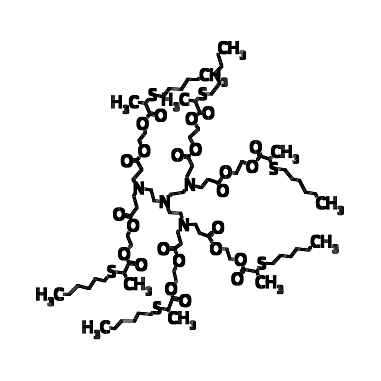 CCCCCCSC(C)C(=O)OCCOC(=O)CCN(CCC(=O)OCCOC(=O)C(C)SCCCCCC)CCN(CCN(CCC(=O)OCCOC(=O)C(C)SCCCCCC)CCC(=O)OCCOC(=O)C(C)SCCCCCC)CCN(CCC(=O)OCCOC(=O)C(C)SCCCCCC)CCC(=O)OCCOC(=O)C(C)SCCCCCC